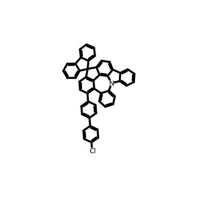 Clc1ccc(-c2ccc(-c3ccc4c5c3-c3ccccc3-n3c6ccccc6c6ccc(c-5c63)C43c4ccccc4-c4ccccc43)cc2)cc1